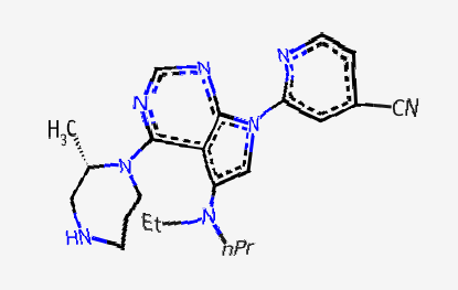 CCCN(CC)c1cn(-c2cc(C#N)ccn2)c2ncnc(N3CCNC[C@@H]3C)c12